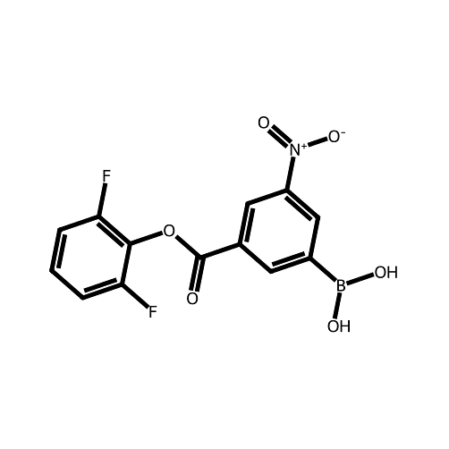 O=C(Oc1c(F)cccc1F)c1cc(B(O)O)cc([N+](=O)[O-])c1